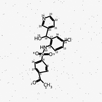 CC(=O)c1ccc(S(=O)(=O)Nc2ccc(Cl)cc2C(O)c2cccnc2)cc1